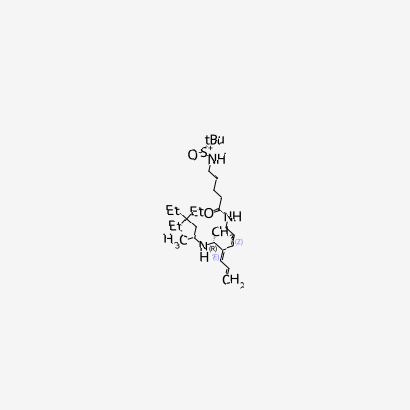 C=C/C=C(\C=C/CNC(=O)CCCCN[S+]([O-])C(C)(C)C)[C@@H](C)NC(C)CC(CC)(CC)CC